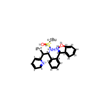 CC(C)C(c1ccccn1)[C@H](N[S@@+]([O-])C(C)(C)C)c1ccccc1-c1noc2ccccc12